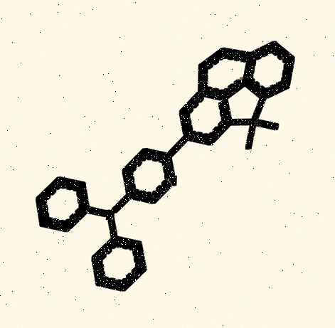 CC1(C)c2cccc3ccc4cc(-c5ccc(N(c6ccccc6)c6ccccc6)cn5)cc1c4c23